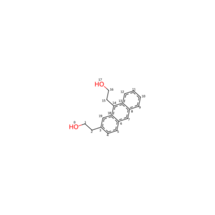 OCCc1ccc2cc3ccccc3c(CCO)c2c1